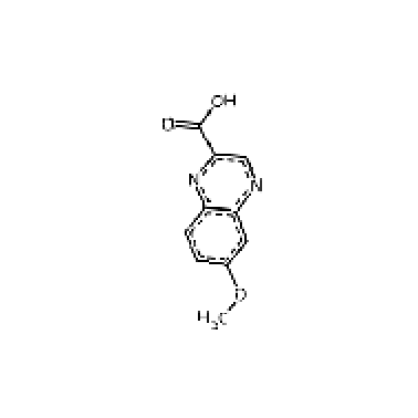 COc1ccc2nc(C(=O)O)cnc2c1